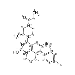 C=CC(=O)N1CCN(C2=NC(O)N3CCSc4c(-c5ccc(F)cc5F)c(Br)cc2c43)[C@@H](C)C1